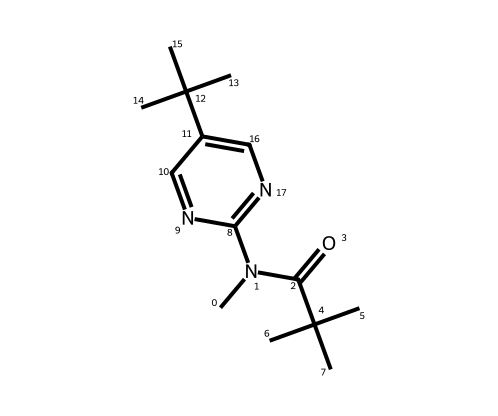 CN(C(=O)C(C)(C)C)c1ncc(C(C)(C)C)cn1